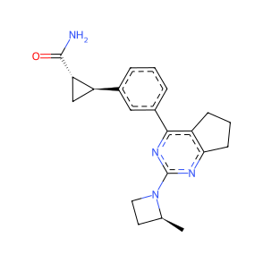 C[C@H]1CCN1c1nc2c(c(-c3cccc([C@H]4C[C@@H]4C(N)=O)c3)n1)CCC2